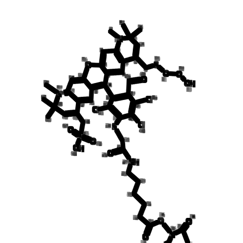 CN1c2cc3c(cc2C(CSOOO)=CC1(C)C)C(c1c(Cl)c(SCC(=O)NCCCCCC(=O)ON2C(=O)CCC2=O)c(Cl)c(Cl)c1C=O)=c1cc2c(cc1O3)=[N+](C)C(C)(C)C=C2CS(=O)(=O)O